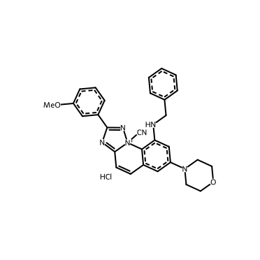 COc1cccc(C2=N[N+]3(C#N)C(=N2)C=Cc2cc(N4CCOCC4)cc(NCc4ccccc4)c23)c1.Cl